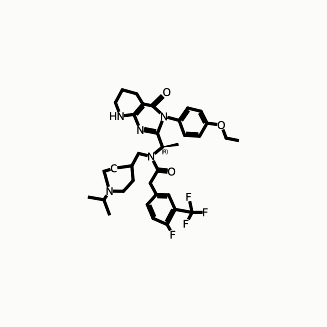 CCOc1ccc(-n2c([C@@H](C)N(CC3CCN(C(C)C)CC3)C(=O)Cc3ccc(F)c(C(F)(F)F)c3)nc3c(c2=O)CCCN3)cc1